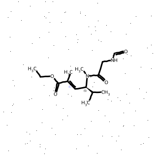 CCOC(=O)/C(C)=C/[C@H](C(C)C)N(C)C(=O)CNC=O